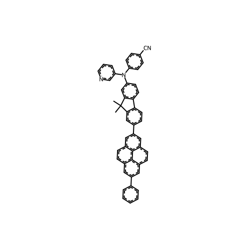 CC1(C)c2cc(-c3cc4ccc5cc(-c6ccccc6)cc6ccc(c3)c4c56)ccc2-c2ccc(N(c3ccc(C#N)cc3)c3cccnc3)cc21